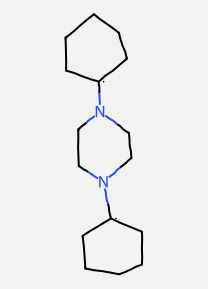 C1CC[C](N2CCN([C]3CCCCC3)CC2)CC1